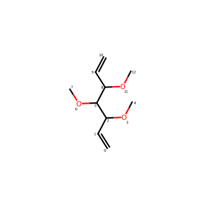 C=CC(OC)C(OC)C(C=C)OC